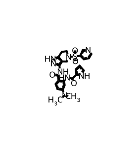 CN(C)c1ccc(C(=O)Nc2n[nH]c3c2CN(S(=O)(=O)c2cccnc2)CC3)c(NC(=O)c2ccc[nH]2)c1